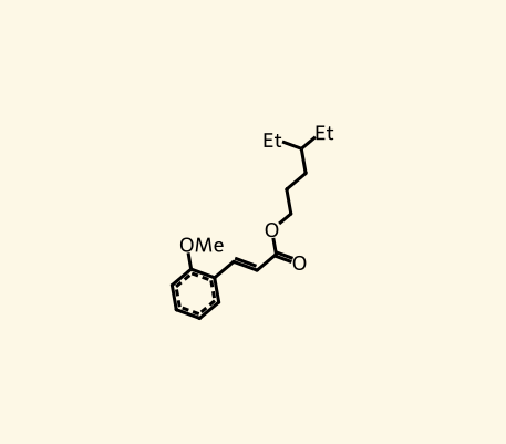 CCC(CC)CCCOC(=O)C=Cc1ccccc1OC